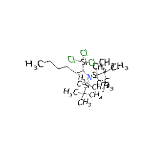 CCCCCC(N([Si](C)(C)C(C)(C)C)[Si](C)(C)C(C)(C)C)[Si](Cl)(Cl)Cl